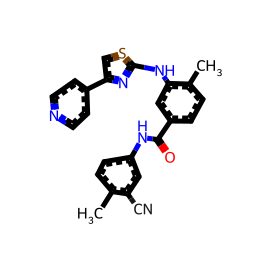 Cc1ccc(NC(=O)c2ccc(C)c(Nc3nc(-c4ccncc4)cs3)c2)cc1C#N